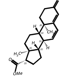 COC(=O)[C@H]1CC[C@H]2[C@@H]3C=CC4=CC(=O)CC[C@]4(C)[C@H]3CC[C@]12C